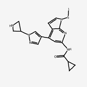 O=C(Nc1cc(-c2cnn(C3CNC3)c2)c2ccn(SI)c2n1)C1CC1